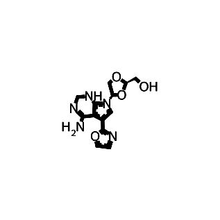 NC1=NCNc2c1c(-c1ncco1)cn2[C@H]1CO[C@@H](CO)O1